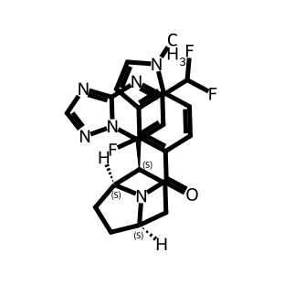 Cn1ccc2c(F)c(C(=O)N3[C@H]4CC[C@H](c5cc(C(F)F)nc6ncnn56)[C@@H]3CC4)ccc21